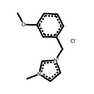 COc1cccc(C[n+]2ccn(C)c2)c1.[Cl-]